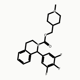 CN1CCC(COC(=O)N2CCc3ccccc3C2c2cc(F)c(F)c(F)c2)CC1